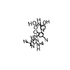 N#Cc1cc(Nc2nc(NC3CC3)c3ncc(C#N)n3n2)c(Cl)c(N2CC[C@@H](O)[C@H](NC(=O)O)C2)c1